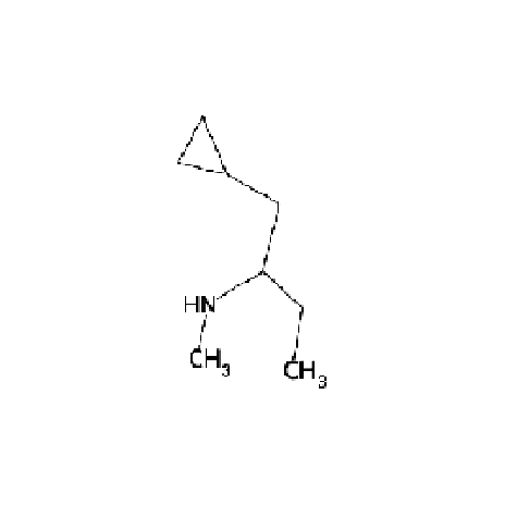 CCC(CC1CC1)NC